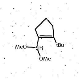 CO[SiH](OC)C1=C(C(C)(C)C)CCC1